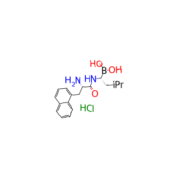 CC(C)C[C@H](NC(=O)[C@@H](N)Cc1cccc2ccccc12)B(O)O.Cl